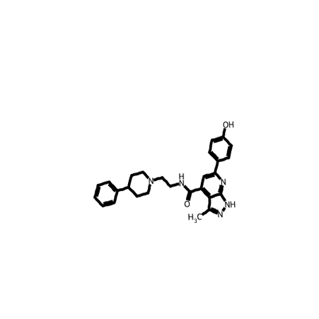 Cc1n[nH]c2nc(-c3ccc(O)cc3)cc(C(=O)NCCN3CCC(c4ccccc4)CC3)c12